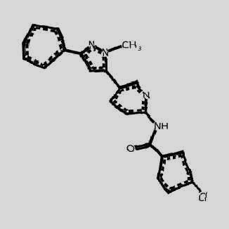 Cn1nc(-c2ccccc2)cc1-c1ccc(NC(=O)c2ccc(Cl)cc2)nc1